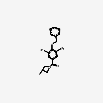 CC(C)c1cc(C(=O)N2CC(F)C2)cc(C(C)C)c1OCc1ccccc1